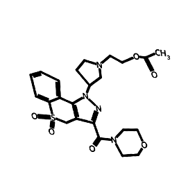 CC(=O)OCCN1CCC(n2nc(C(=O)N3CCOCC3)c3c2-c2ccccc2S(=O)(=O)C3)C1